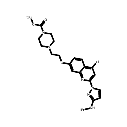 CC(C)Nc1ccn(-c2cc(Cl)c3ccc(OCCN4CCN(C(=O)OC(C)(C)C)CC4)cc3n2)n1